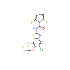 O=C(Nc1nc2cc(Cl)c(OC(F)(F)C(F)F)c(Cl)c2s1)c1c(F)cccc1F